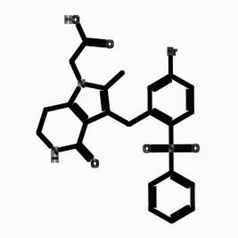 Cc1c(Cc2cc(Br)ccc2S(=O)(=O)c2ccccc2)c2c(n1CC(=O)O)CCNC2=O